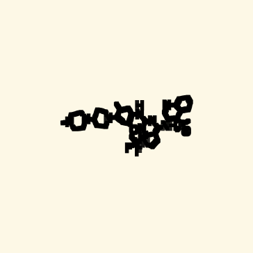 Cc1cc(Nc2nc(Nc3cnc4ccccc4c3P(C)(C)=O)c3cc[nH]c3n2)c(OCC(F)(F)F)cc1N1CCC(N2CCN(C)CC2)CC1